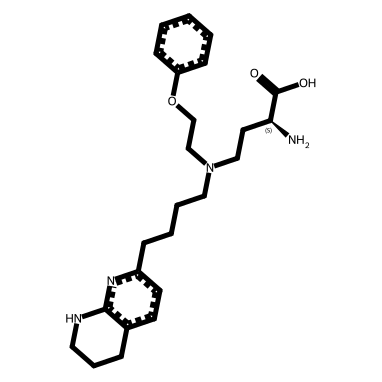 N[C@@H](CCN(CCCCc1ccc2c(n1)NCCC2)CCOc1ccccc1)C(=O)O